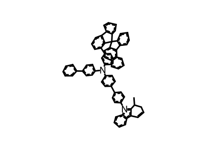 CC1CC=Cc2c1n(-c1ccc(-c3ccc(N(c4ccc(-c5ccccc5)cc4)c4cccc(-c5cccc6c5C5(c7ccccc7-6)c6ccccc6-c6c5ccc5ccccc65)c4)cc3)cc1)c1ccccc21